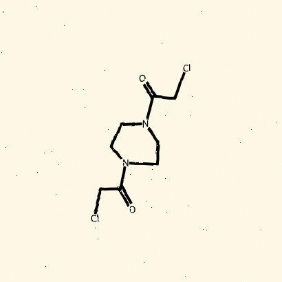 O=C(CCl)N1CCN(C(=O)CCl)CC1